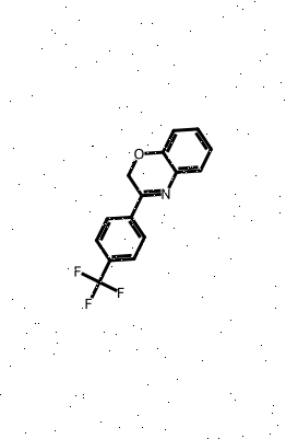 FC(F)(F)c1ccc(C2=Nc3ccccc3OC2)cc1